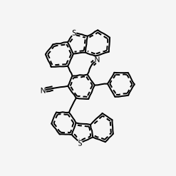 N#Cc1c(-c2ccccc2)cc(-c2cccc3sc4ccccc4c23)c(C#N)c1-c1cccc2sc3ccccc3c12